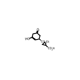 CCOC(=O)C1C=C(O)CC(=O)C1.O=C(O)C1CC1